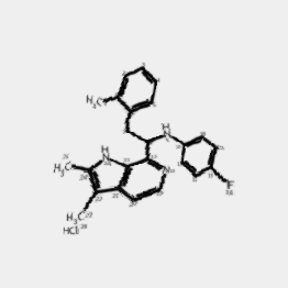 Cc1ccccc1CC(Nc1ccc(F)cc1)c1nccc2c(C)c(C)[nH]c12.Cl